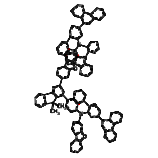 CC1(C)c2ccccc2-c2cc(-c3ccc4c(c3)oc3cc(N(c5cc(-c6cc7ccccc7c7ccccc67)ccc5-c5ccccc5)c5ccccc5-n5c6ccccc6c6ccccc65)ccc34)cc(-c3ccc(N(c4ccc5c(c4)oc4ccccc45)c4cc(-c5cc6ccccc6c6ccccc56)ccc4-c4ccccc4)cc3)c21